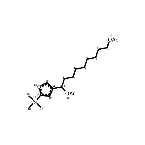 CC(=O)OCCCCCCCCC(OC(C)=O)c1coc([Si](C)(C)C)c1